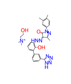 CC1=NN(c2ccc(C)c(C)c2)C(=O)C1=NNc1cccc(-c2cccc(-c3nnn[nH]3)c2)c1O.C[N+](C)(C)CCO